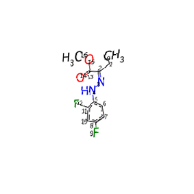 CC/C(=N/Nc1ccc(F)cc1F)C(=O)OC